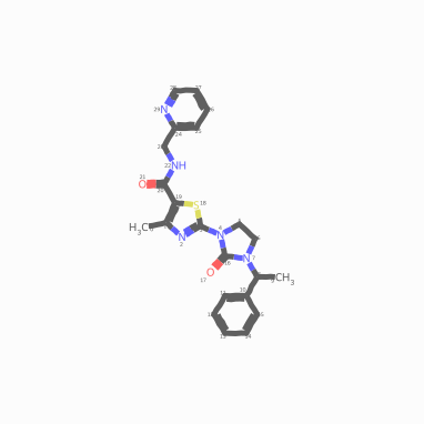 Cc1nc(N2CCN(C(C)c3ccccc3)C2=O)sc1C(=O)NCc1ccccn1